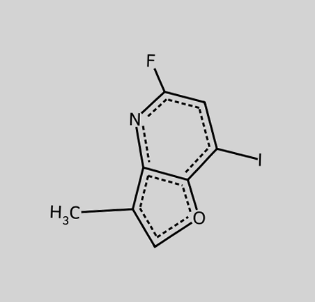 Cc1coc2c(I)cc(F)nc12